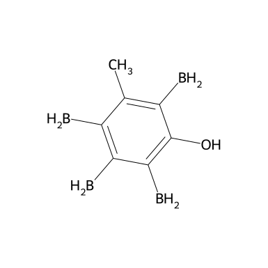 Bc1c(B)c(C)c(B)c(O)c1B